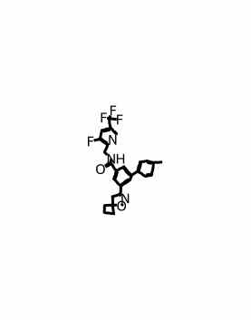 Cc1ccc(-c2cc(C(=O)NCc3ncc(C(F)(F)F)cc3F)cc(C3=NOC4(CCC4)C3)c2)cc1